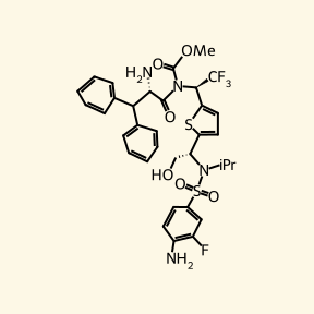 COC(=O)N(C(=O)[C@@H](N)C(c1ccccc1)c1ccccc1)[C@H](c1ccc([C@@H](CO)N(C(C)C)S(=O)(=O)c2ccc(N)c(F)c2)s1)C(F)(F)F